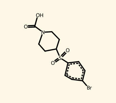 O=C(O)N1CCC(S(=O)(=O)c2ccc(Br)cc2)CC1